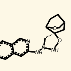 c1ccc2cc(NN3C[C@]4(CC5CCC4CC5)ON3)ncc2c1